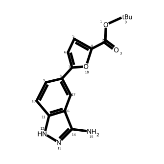 CC(C)(C)OC(=O)c1ccc(-c2ccc3[nH]nc(N)c3c2)o1